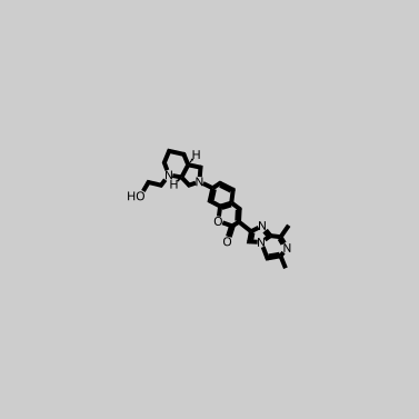 Cc1cn2cc(-c3cc4ccc(N5C[C@@H]6CCCN(CCO)[C@@H]6C5)cc4oc3=O)nc2c(C)n1